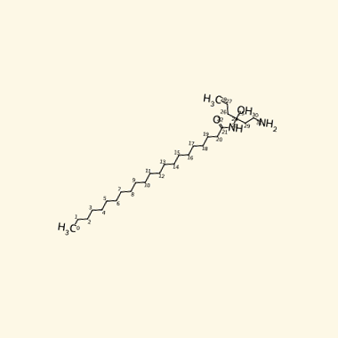 CCCCCCCCCCCCCCCCCCCCCC(=O)NC(O)(CCC)CCN